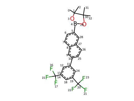 CC1(C)OB(c2ccc3cc(-c4cc(C(F)(F)F)cc(C(F)(F)F)c4)ccc3c2)OC1(C)C